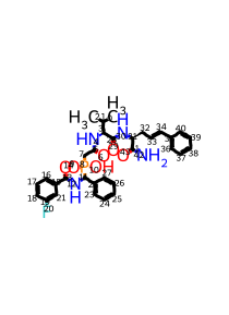 CC(C)[C@H](NC(=O)CP(=O)(O)C(NC(=O)c1cccc(F)c1)c1ccccc1)C(=O)N[C@@H](C/C=C/c1ccccc1)C(N)=O